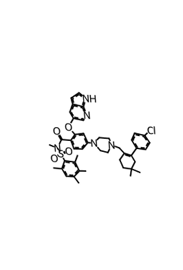 Cc1cc(C)c(S(=O)(=O)N(C)C(=O)c2ccc(N3CCN(CC4=C(c5ccc(Cl)cc5)CC(C)(C)CC4)CC3)cc2Oc2cnc3[nH]ccc3c2)c(C)c1C